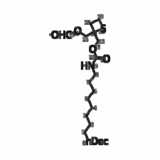 CCCCCCCCCCCCCCCCCCNC(=O)OCC1(CO[C]=O)CCS1